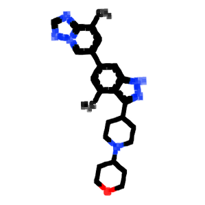 Cc1cc(-c2cc(C)c3ncnn3c2)cc2[nH]nc(C3CCN(C4CCOCC4)CC3)c12